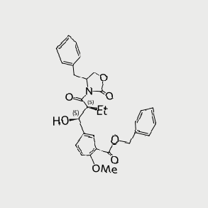 CC[C@H](C(=O)N1C(=O)OCC1Cc1ccccc1)[C@H](O)c1ccc(OC)c(C(=O)OCc2ccccc2)c1